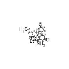 C=CCC1CC(c2cccc(Cl)c2)C(c2ccc(Cl)cc2)N(C(CC)CN)C1=O